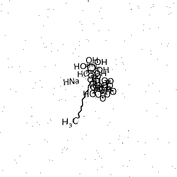 CCCCCCCCCCCCOP(=O)(O[C@]1(O)[C@H](O)[C@H](O)[C@@H](O)[C@H](O)[C@H]1O)OP(=O)(O)OP(=O)(O)OP(=O)(O)OP(=O)(O)OP(=O)(O)O.[NaH]